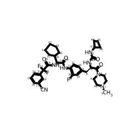 CN1CCN(C(=O)[C@@H](Cc2ccc(NC(=O)[C@@H](NC(=O)C(F)(F)c3cccc(C#N)c3)C3CCCCC3)c(F)c2)NC(=O)NC2CCC2)CC1